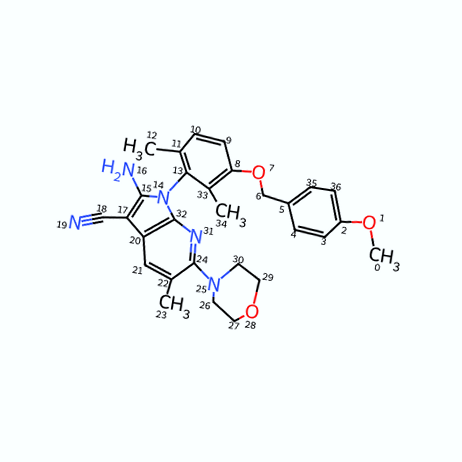 COc1ccc(COc2ccc(C)c(-n3c(N)c(C#N)c4cc(C)c(N5CCOCC5)nc43)c2C)cc1